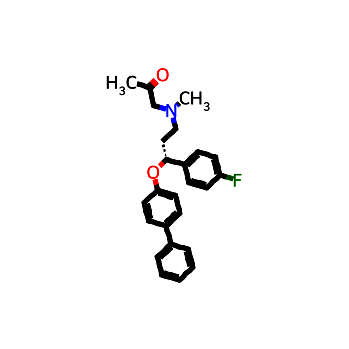 CC(=O)CN(C)CC[C@@H](Oc1ccc(-c2ccccc2)cc1)c1ccc(F)cc1